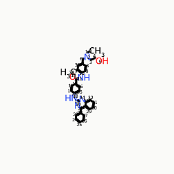 CCN(CCO)Cc1ccc(NC(=O)c2ccc(Nc3nc(-c4ccccc4)c4ccccc4n3)cc2)c(C)c1